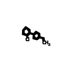 C=Cc1ccc(-c2ccccc2Cl)cc1